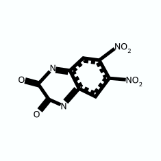 O=C1N=c2cc([N+](=O)[O-])c([N+](=O)[O-])cc2=NC1=O